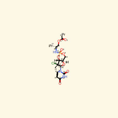 CC(C)C(=O)OC[C@H](N[P@@]1(=O)OC[C@H]2O[C@@H](n3ccc(=O)[nH]c3=O)[C@](C)(Cl)[C@@H]2O1)C(C)C